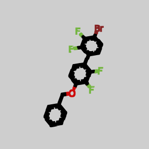 Fc1c(Br)ccc(-c2ccc(OCc3ccccc3)c(F)c2F)c1F